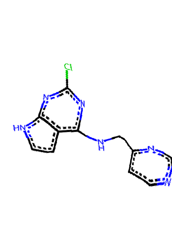 Clc1nc(NCc2ccncn2)c2cc[nH]c2n1